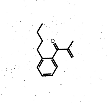 C=C(C)C(=O)c1ccccc1CCCC